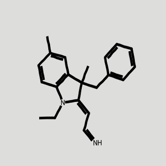 CCN1/C(=C\C=N)C(C)(Cc2ccccc2)c2cc(C)ccc21